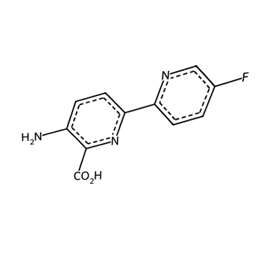 Nc1ccc(-c2ccc(F)cn2)nc1C(=O)O